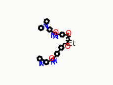 CCC(C)(CC(C)(C)C(=O)c1ccc(-c2nnc(-c3ccc(N(c4ccccc4)c4ccccc4)cc3)o2)cc1)C(=O)Cc1ccc(-c2ccc(-c3nnc(-c4ccc5c(c4)c4ccccc4n5C)o3)cc2)cc1